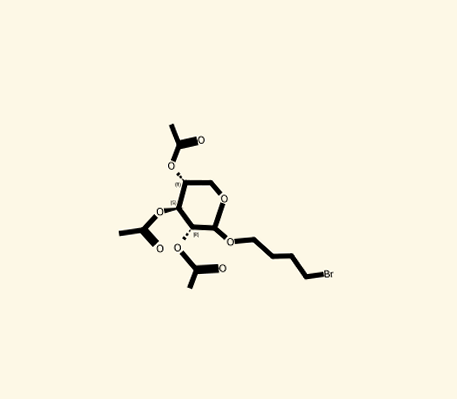 CC(=O)O[C@H]1[C@H](OC(C)=O)COC(OCCCCBr)[C@@H]1OC(C)=O